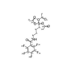 CC(=O)O[Si](CCCCNC(=O)c1c(F)c(F)c(F)c(F)c1F)(OC(C)=O)OC(C)=O